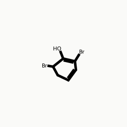 OC1=C(Br)C=CCC1Br